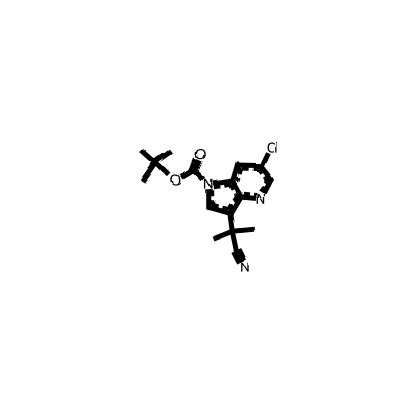 CC(C)(C)OC(=O)n1cc(C(C)(C)C#N)c2ncc(Cl)cc21